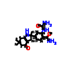 CC1(C)CC(=O)C2=C(C1)NC(C)(c1ccc(C(N)=O)c(NC(N)=O)c1)C2